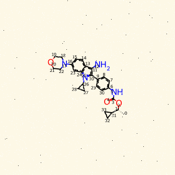 C[C@@H](OC(=O)Nc1ccc(-c2c(N)c3ccc(N4CCOCC4)cc3n2C2CC2)cc1)C1CC1